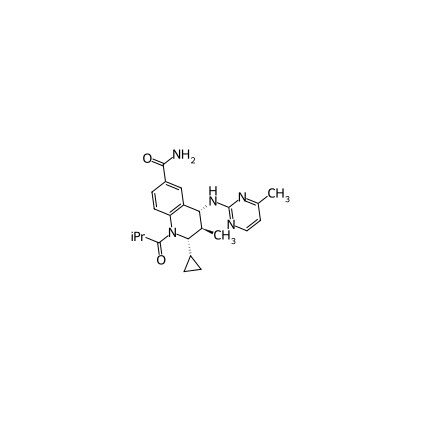 Cc1ccnc(N[C@H]2c3cc(C(N)=O)ccc3N(C(=O)C(C)C)[C@@H](C3CC3)[C@@H]2C)n1